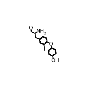 NC(C=O)Cc1ccc(Oc2ccc(O)cc2)c(I)c1